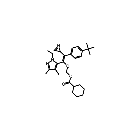 CCn1nc(C)c(C)c1/C(OCOC(=O)C1CCCCC1)=C(/c1ccc(C(C)(C)C)cc1)C1C=N1